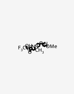 COc1ccc(OC2CCN(c3nc4c(cc3C)C(=O)N(C[C@H](O)C(F)(F)F)C4)CC2)cn1